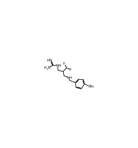 CC(C)(C)c1ccc(CNCC(CNC(=N)N)C(F)F)cc1